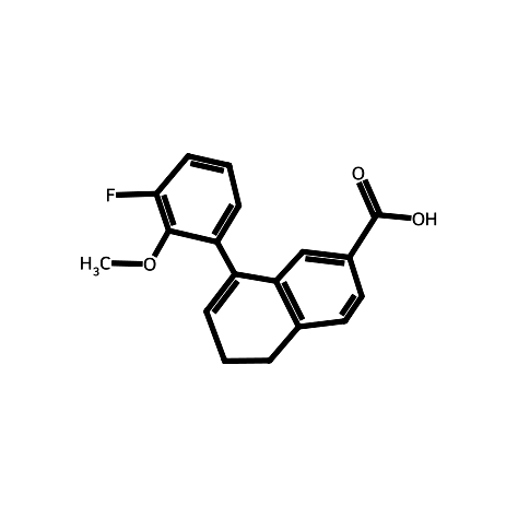 COc1c(F)cccc1C1=CCCc2ccc(C(=O)O)cc21